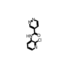 O=C(Nc1cccnc1Cl)c1ccnnc1